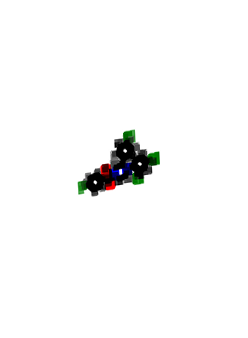 O=S(=O)(c1ccc(F)cc1)N1CCN(c2ccc(Cl)cc2Cl)C(c2ccc(Cl)cc2)C1